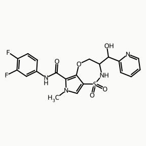 Cn1cc2c(c1C(=O)Nc1ccc(F)c(F)c1)OCC(C(O)c1ccccn1)NS2(=O)=O